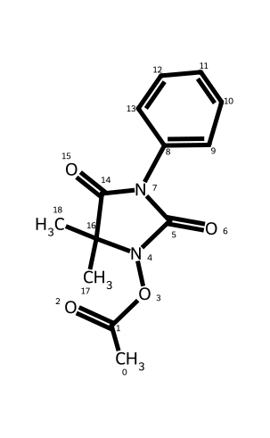 CC(=O)ON1C(=O)N(c2ccccc2)C(=O)C1(C)C